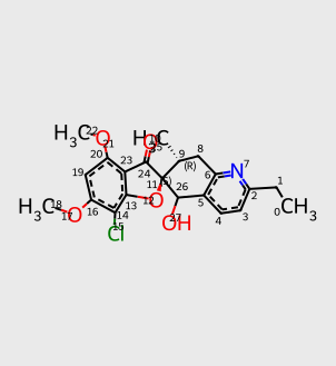 CCc1ccc2c(n1)C[C@@H](C)[C@]1(Oc3c(Cl)c(OC)cc(OC)c3C1=O)C2O